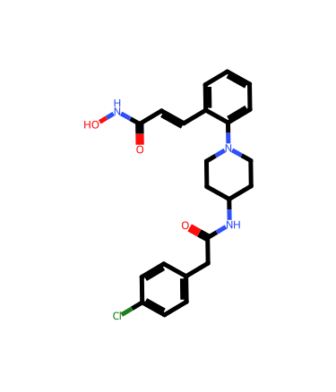 O=C(/C=C/c1ccccc1N1CCC(NC(=O)Cc2ccc(Cl)cc2)CC1)NO